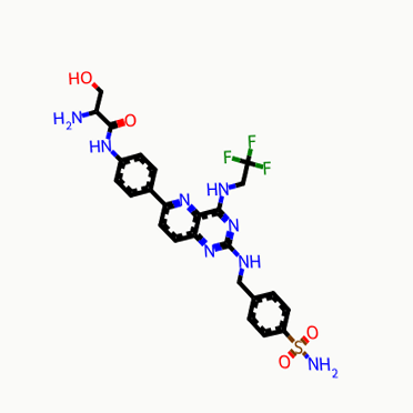 NC(CO)C(=O)Nc1ccc(-c2ccc3nc(NCc4ccc(S(N)(=O)=O)cc4)nc(NCC(F)(F)F)c3n2)cc1